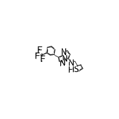 FC(F)(F)c1cccc(-c2cnn3c(NCc4cccs4)ccnc23)c1